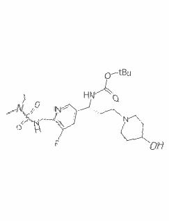 CN(C)S(=O)(=O)Nc1ncc([C@@H](CCN2CCC(O)CC2)NC(=O)OC(C)(C)C)cc1F